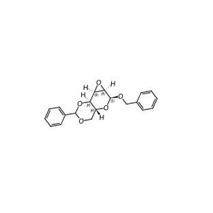 c1ccc(CO[C@H]2O[C@@H]3COC(c4ccccc4)O[C@H]3[C@H]3O[C@@H]23)cc1